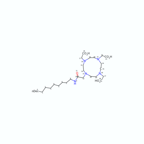 CCCCCCCCCCCCCCCCCCNC(=O)CN1CCN(CC(=O)O)CCN(CC(=O)O)CCN(CC(=O)O)CC1